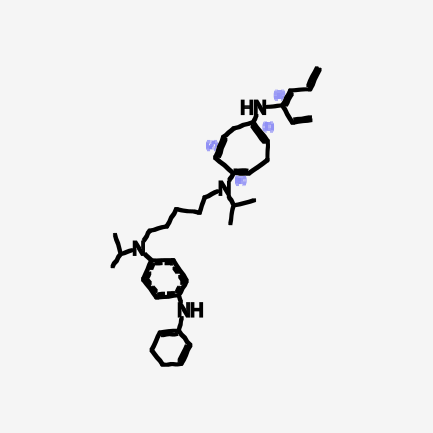 C=C/C=C(\C=C)N/C1=C/C/C=C(N(CCCCCN(c2ccc(NC3=CCCC=C3)cc2)C(C)C)C(C)C)\C=C/C1